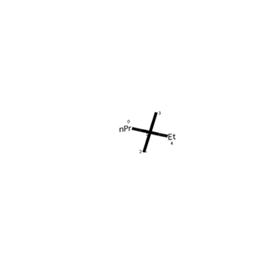 [CH2]CCC([CH2])(C)CC